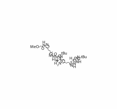 COCCC(=O)Nc1cc(CCc2cnc(NC(=O)Nc3cc(C(C)(C)C)nn3C(C3CC3)[n+]3ccc(CCc4cnc(NC(=O)Nc5cc(C(C)(C)C)nn5C)s4)cc3N)s2)ccn1